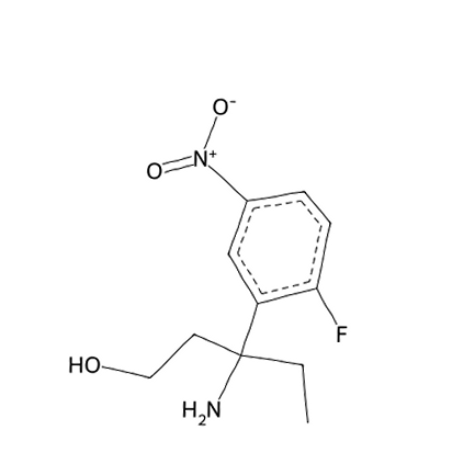 CCC(N)(CCO)c1cc([N+](=O)[O-])ccc1F